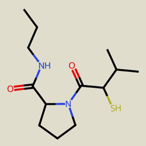 CCCNC(=O)C1CCCN1C(=O)C(S)C(C)C